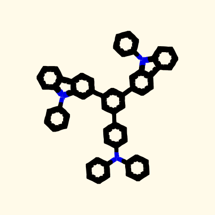 c1ccc(N(c2ccccc2)c2ccc(-c3cc(-c4ccc5c6ccccc6n(-c6ccccc6)c5c4)cc(-c4ccc5c6ccccc6n(-c6ccccc6)c5c4)c3)cc2)cc1